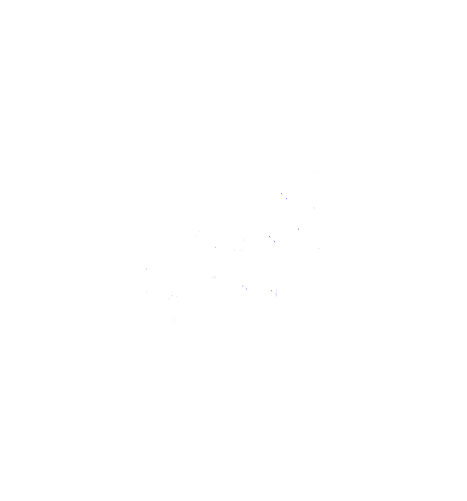 CC[C@@H](NC(=O)O)C(=O)Nc1cncnc1Oc1ccc2c(c1)C(C)(C)OC2